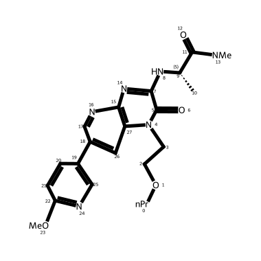 CCCOCCn1c(=O)c(N[C@@H](C)C(=O)NC)nc2ncc(-c3ccc(OC)nc3)cc21